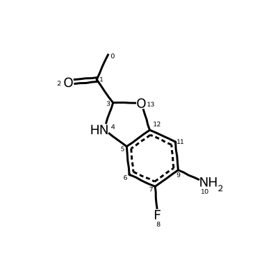 CC(=O)C1Nc2cc(F)c(N)cc2O1